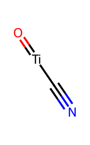 N#[C][Ti]=[O]